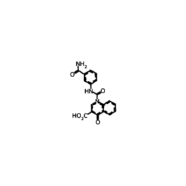 NC(=O)c1cccc(NC(=O)n2cc(C(=O)O)c(=O)c3ccccc32)c1